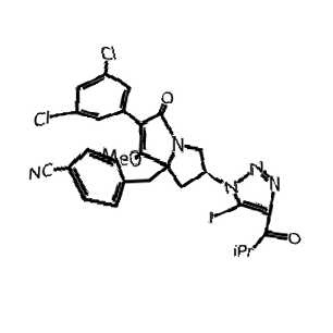 COC1=C(c2cc(Cl)cc(Cl)c2)C(=O)N2C[C@@H](n3nnc(C(=O)C(C)C)c3I)CC12Cc1ccc(C#N)cc1